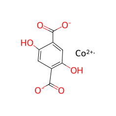 O=C([O-])c1cc(O)c(C(=O)[O-])cc1O.[Co+2]